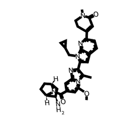 COc1cc(C(=O)N2[C@H]3CC[C@@H]2[C@H](N)C3)cc2nc(-c3cc4ccc(C5=CC(=O)N(C)CC5)nc4n3CC3CC3)c(C)n12